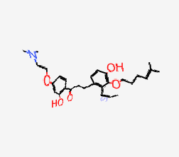 C/C=C\c1c(CCC(=O)c2ccc(OCCN(C)C)cc2O)ccc(O)c1OCCCC=C(C)C